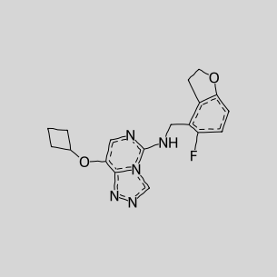 Fc1ccc2c(c1CNc1ncc(OC3CCC3)c3nncn13)CCO2